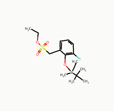 CCOS(=O)(=O)Cc1cccc(F)c1O[Si](C)(C)C(C)(C)C